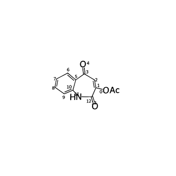 CC(=O)Oc1cc(=O)c2ccccc2[nH]c1=O